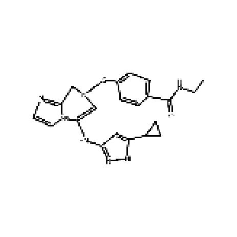 CCNC(=O)c1ccc(SN2C=C(Nc3cc(C4CC4)[nH]n3)[N+]3C=CN=C3C2)cc1